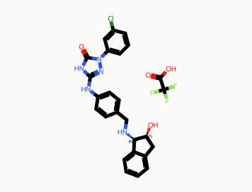 O=C(O)C(F)(F)F.O=c1[nH]c(Nc2ccc(CN[C@@H]3c4ccccc4C[C@@H]3O)cc2)nn1-c1cccc(Cl)c1